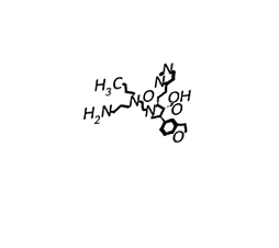 CCCCN(CCCN)C(=O)CN1C[C@H](c2ccc3c(c2)CCO3)[C@@H](C(=O)O)[C@@H]1CCc1ccncn1